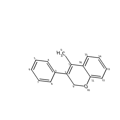 CC1=C(c2ccccc2)COc2ccccc21